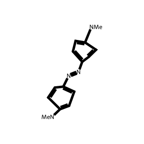 CNc1ccc(N=Nc2ccc(NC)cc2)cc1